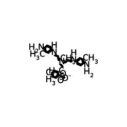 CCC[N+](C)(CCCNc1ccc(N)c(C)c1)CCCNc1ccc(N)c(C)c1.Cc1ccc(S(=O)(=O)[O-])cc1